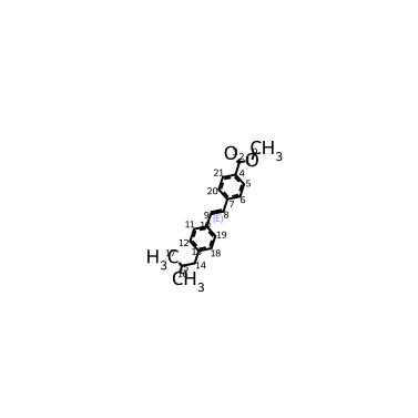 COC(=O)c1ccc(/C=C/c2ccc(CC(C)C)cc2)cc1